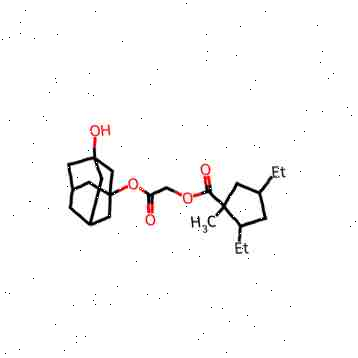 CCC1CC(CC)C(C)(C(=O)OCC(=O)OC23CC4CC(CC(O)(C4)C2)C3)C1